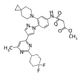 COC(=O)CS(=O)(=O)Nc1ccc(-n2cc(-c3cc(C)nc(C4CCC(F)(F)CC4)n3)cn2)c(N2CCC3(CC2)CC3)c1